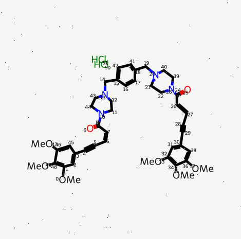 COc1cc(C#CC=CC(=O)N2CCN(Cc3ccc(CN4CCN(C(=O)C=CC#Cc5cc(OC)c(OC)c(OC)c5)CC4)cc3)CC2)cc(OC)c1OC.Cl.Cl